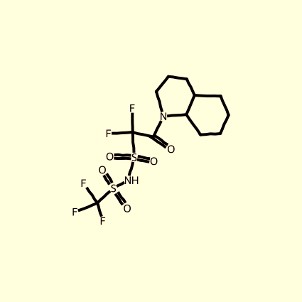 O=C(N1CCCC2CCCCC21)C(F)(F)S(=O)(=O)NS(=O)(=O)C(F)(F)F